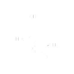 CCCCC1(C)CCC2[C@@H](C1)OC(=O)[C@@H]2C